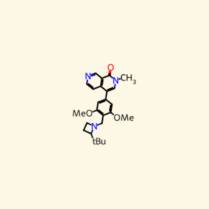 COc1cc(-c2cn(C)c(=O)c3cnccc23)cc(OC)c1CN1CCC1C(C)(C)C